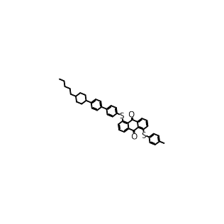 CCCCCC1CCC(c2ccc(-c3ccc(Sc4cccc5c4C(=O)c4cccc(Sc6ccc(C)cc6)c4C5=O)cc3)cc2)CC1